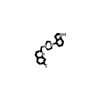 Fc1ccc2ccc(CN3CCN(c4cccc5[nH]ccc45)CC3)nc2c1